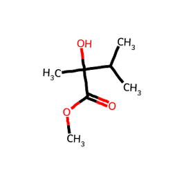 COC(=O)C(C)(O)C(C)C